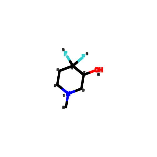 CN1CCC(F)(F)C(O)C1